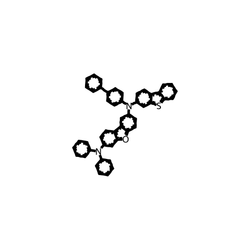 c1ccc(-c2ccc(N(c3ccc4c(c3)sc3ccccc34)c3ccc4oc5cc(N(c6ccccc6)c6ccccc6)ccc5c4c3)cc2)cc1